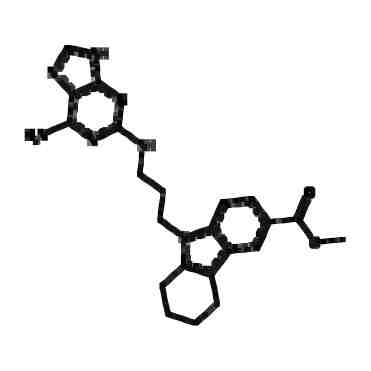 COC(=O)c1ccc2c(c1)c1c(n2CCCNc2nc(N)c3nc[nH]c3n2)CCCC1